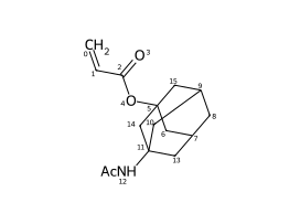 C=CC(=O)OC12CC3CC(CC(NC(C)=O)(C3)C1)C2